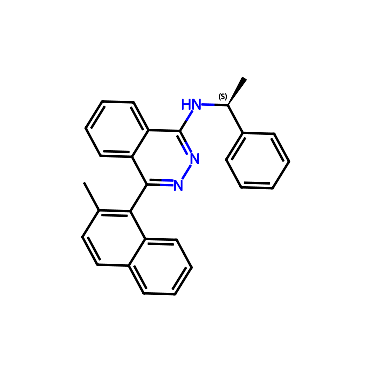 Cc1ccc2ccccc2c1-c1nnc(N[C@@H](C)c2ccccc2)c2ccccc12